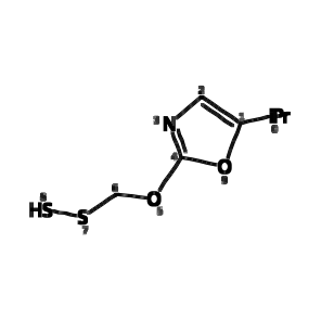 CC(C)c1cnc(OCSS)o1